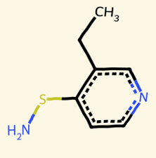 CCc1cnccc1SN